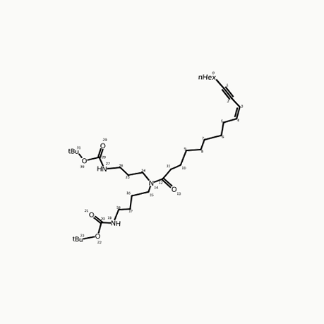 CCCCCCC#C/C=C\CCCCCCCC(=O)N(CCCCNC(=O)OC(C)(C)C)CCCNC(=O)OC(C)(C)C